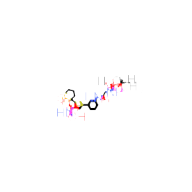 CC(C)(C)OC(=O)NCC(=O)Nc1cccc(-c2ccc([C@@]3(CC(=O)NO)CCCCS3(=O)=O)s2)c1